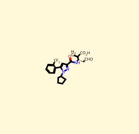 CC(C(=O)O)[C@H](CC=O)NC(=O)c1cc(-c2ccccc2C(F)(F)F)n(C2CCCC2)n1